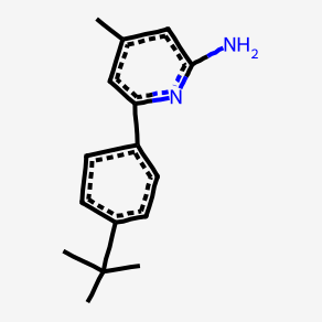 Cc1cc(N)nc(-c2ccc(C(C)(C)C)cc2)c1